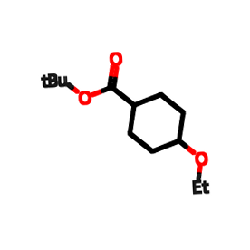 CCOC1CCC(C(=O)OC(C)(C)C)CC1